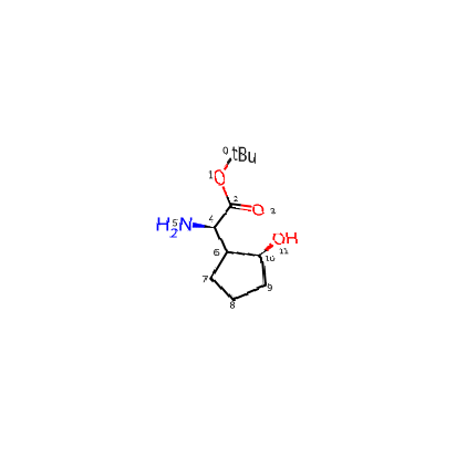 CC(C)(C)OC(=O)[C@H](N)C1CCC[C@@H]1O